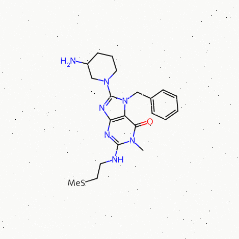 CSCCNc1nc2nc(N3CCCC(N)C3)n(Cc3ccccc3)c2c(=O)n1C